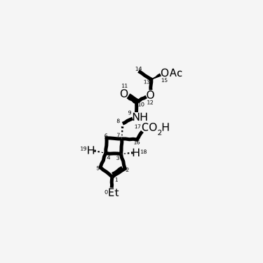 CCC1=C[C@H]2[C@@H](C1)C[C@@]2(CNC(=O)O[C@@H](C)OC(C)=O)CC(=O)O